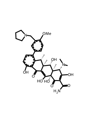 COc1ccc(-c2ccc(O)c3c2[C@H](C)[C@]2(C)C(=C(O)[C@]4(O)C(=O)C(C(N)=O)=C(O)[C@@H](N(C)C)[C@]4(C)[C@H]2O)C3=O)cc1CN1CCCC1